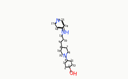 O[C]1CCC(N2CCC(CCCNc3ccncc3)CC2)CC1